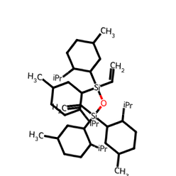 C=C[Si](O[Si](C=C)(C1CC(C)CCC1C(C)C)C1CC(C)CCC1C(C)C)(C1CC(C)CCC1C(C)C)C1CC(C)CCC1C(C)C